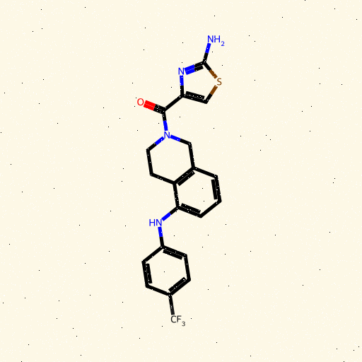 Nc1nc(C(=O)N2CCc3c(cccc3Nc3ccc(C(F)(F)F)cc3)C2)cs1